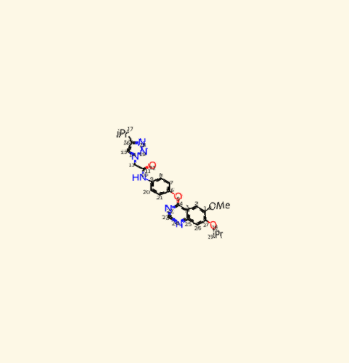 COc1cc2c(Oc3ccc(NC(=O)Cn4cc(C(C)C)nn4)cc3)ncnc2cc1OC(C)C